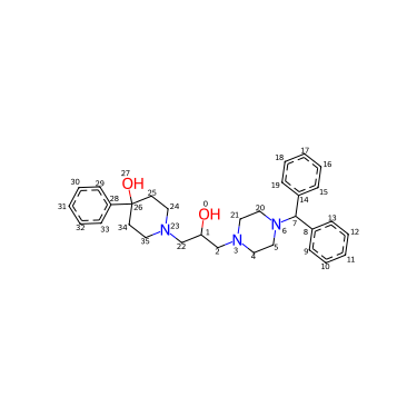 OC(CN1CCN(C(c2ccccc2)c2ccccc2)CC1)CN1CCC(O)(c2ccccc2)CC1